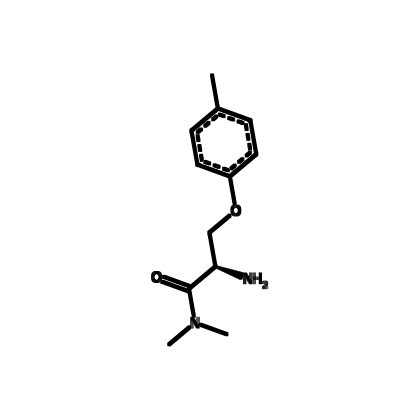 Cc1ccc(OC[C@@H](N)C(=O)N(C)C)cc1